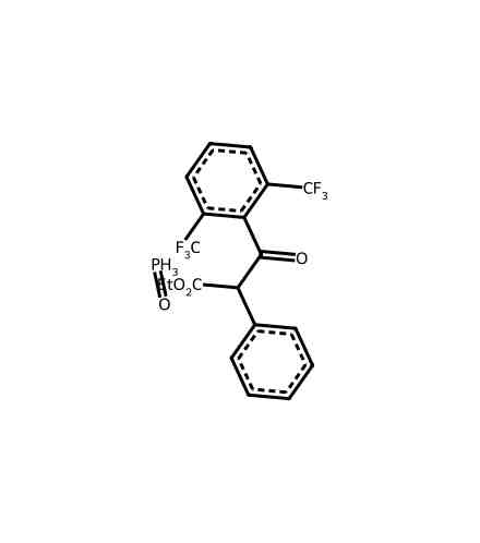 CCOC(=O)C(C(=O)c1c(C(F)(F)F)cccc1C(F)(F)F)c1ccccc1.O=[PH3]